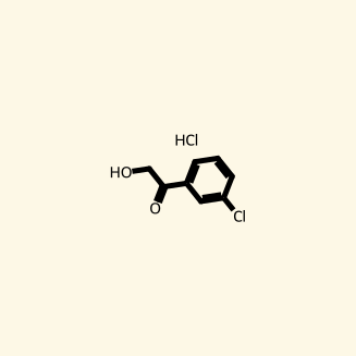 Cl.O=C(CO)c1cccc(Cl)c1